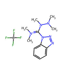 CN(C)N(C)C(n1nnc2ccccc21)=[N+](C)C.F[B-](F)(F)F